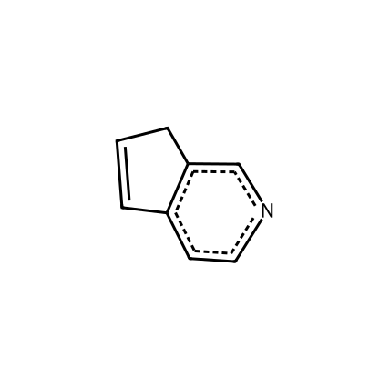 C1=Cc2ccncc2C1